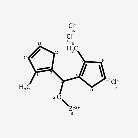 CC1=C(C([O][Zr+3])C2=C(C)C=CC2)CC=C1.[Cl-].[Cl-].[Cl-]